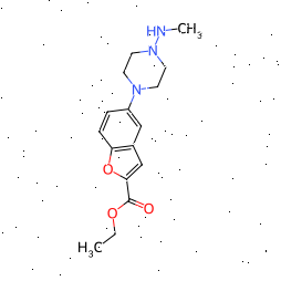 CCOC(=O)c1cc2cc(N3CCN(NC)CC3)ccc2o1